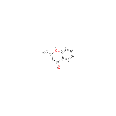 CCCCC1CC(=O)c2ccccc2O1